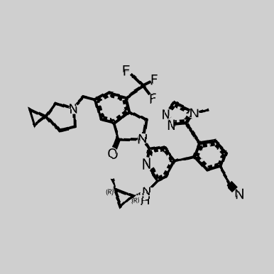 C[C@@H]1C[C@H]1Nc1cc(-c2cc(C#N)ccc2-c2nncn2C)cc(N2Cc3c(cc(CN4CCC5(CC5)C4)cc3C(F)(F)F)C2=O)n1